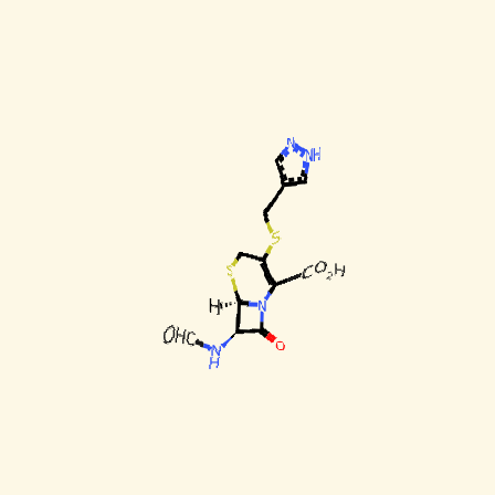 O=CN[C@@H]1C(=O)N2C(C(=O)O)=C(SCc3cn[nH]c3)CS[C@H]12